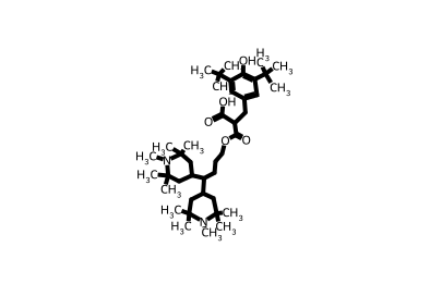 CN1C(C)(C)CC(C(CCCOC(=O)C(Cc2cc(C(C)(C)C)c(O)c(C(C)(C)C)c2)C(=O)O)C2CC(C)(C)N(C)C(C)(C)C2)CC1(C)C